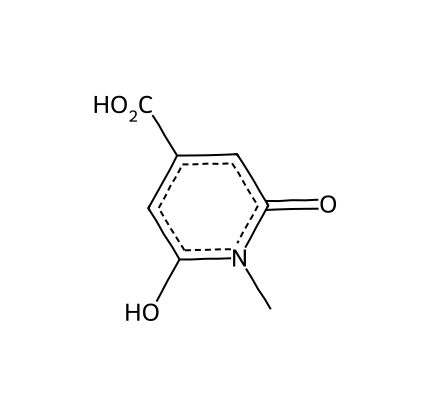 Cn1c(O)cc(C(=O)O)cc1=O